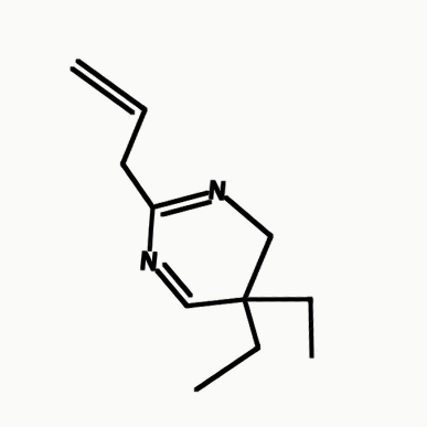 C=CCC1=NCC(CC)(CC)C=N1